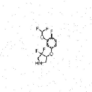 Fc1ccc(OC2CNCC2(F)F)cc1OC(F)F